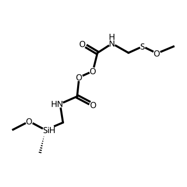 COSCNC(=O)OOC(=O)NC[Si@H](C)OC